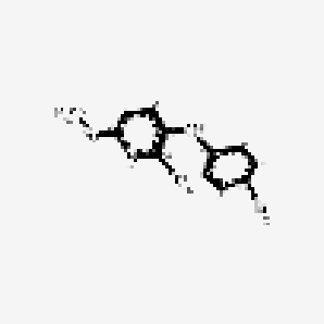 COc1ccc(Oc2ccc(Br)cc2)c(Cl)n1